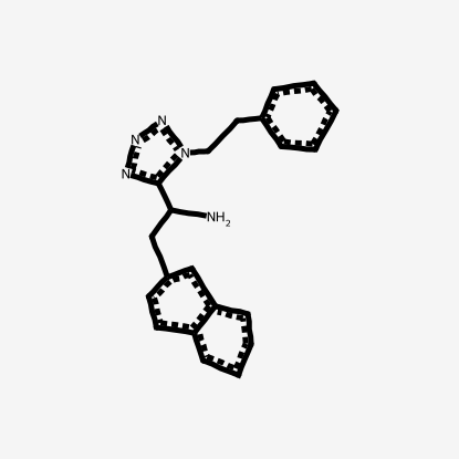 NC(Cc1ccc2ccccc2c1)c1nnnn1CCc1ccccc1